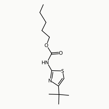 CCCCCOC(=O)Nc1nc(C(C)(C)C)cs1